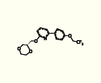 FC(F)(F)COc1ccc(-c2cccc(OC[C@H]3COCCO3)n2)cc1